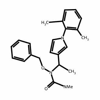 CNC(=O)N(OCc1ccccc1)C(C)c1ccn(-c2c(C)cccc2C)c1